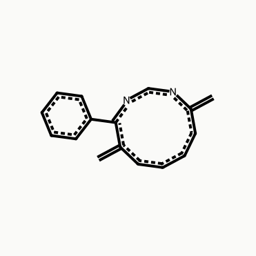 C=c1ccccc(=C)c(-c2ccccc2)ncn1